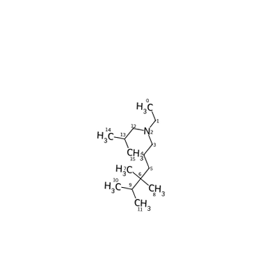 CCN(CCCC(C)(C)C(C)C)CC(C)C